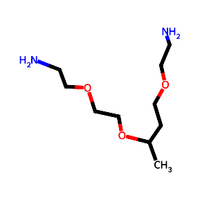 CC(CCOCCN)OCCOCCN